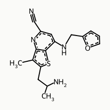 Cc1c(CC(C)N)sc2c(NCc3ccco3)cc(C#N)nc12